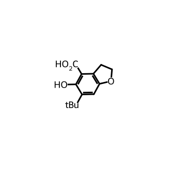 CC(C)(C)c1cc2c(c(C(=O)O)c1O)CCO2